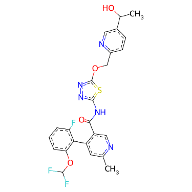 Cc1cc(-c2c(F)cccc2OC(F)F)c(C(=O)Nc2nnc(OCc3ccc(C(C)O)cn3)s2)cn1